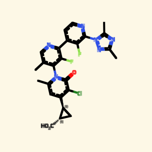 Cc1nc(C)n(-c2nccc(-c3ncc(C)c(-n4c(C)cc([C@H]5C[C@@H]5C(=O)O)c(Cl)c4=O)c3F)c2F)n1